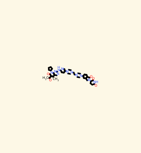 CC(=O)c1c(C)c2cnc(Nc3ccc(N4CCN(CCN5CCN(c6ccc7c(c6)CN(C6CCC(=O)NC6=O)C7=O)CC5)CC4)cn3)nc2n(C2CCCC2)c1=O